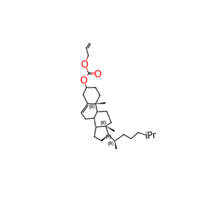 C=CCOC(=O)OC1CC[C@@]2(C)C(=CCC3C2CC[C@@]2(C)C3CC[C@@H]2[C@H](C)CCCC(C)C)C1